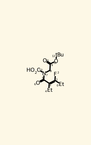 CC/C(F)=C(\CC)C(=O)N(CC(=O)OC(C)(C)C)C(=O)O